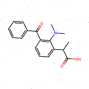 CC(C(=O)O)c1cccc(C(=O)c2ccccc2)c1N(C)C